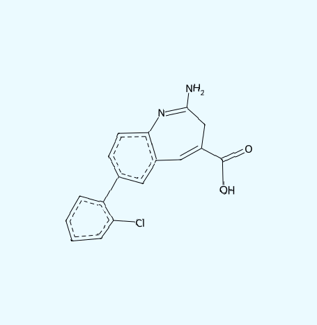 NC1=Nc2ccc(-c3ccccc3Cl)cc2C=C(C(=O)O)C1